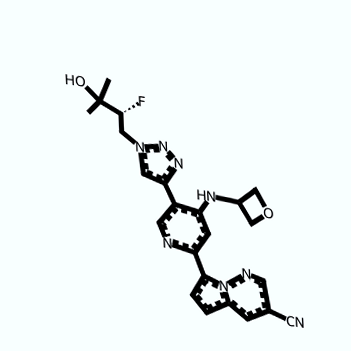 CC(C)(O)[C@H](F)Cn1cc(-c2cnc(-c3ccc4cc(C#N)cnn34)cc2NC2COC2)nn1